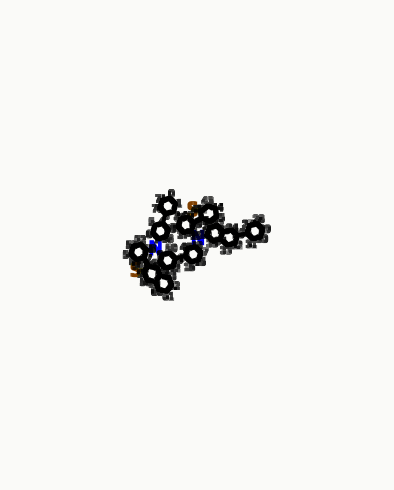 c1ccc(-c2ccc(N(c3cccc(-c4cccc(N(c5ccc6cc(-c7ccccc7)ccc6c5)c5cccc6sc7ccccc7c56)c4)c3)c3cccc4sc5cc6ccccc6cc5c34)cc2)cc1